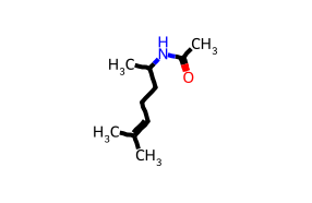 CC(=O)NC(C)CCC=C(C)C